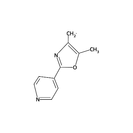 [CH2]c1nc(-c2ccncc2)oc1C